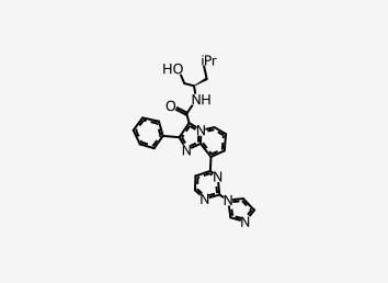 CC(C)C[C@H](CO)NC(=O)c1c(-c2ccccc2)nc2c(-c3ccnc(-n4ccnc4)n3)cccn12